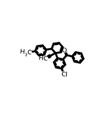 C#CC1(c2ccc(Cl)cc2C(=O)c2ccccc2)C=CC=CC1c1ccc(C)cc1